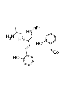 CCCNCC(C=Cc1ccccc1O)NCC(C)N.Oc1ccccc1[CH]=[Co]